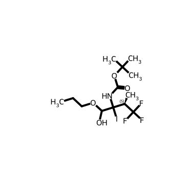 CCCOC(O)C(I)(NC(=O)OC(C)(C)C)[C@@H](C)C(F)(F)F